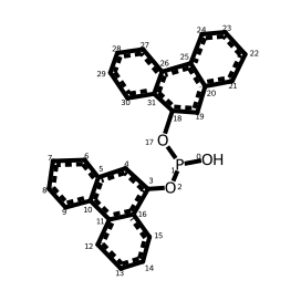 OP(Oc1cc2ccccc2c2ccccc12)Oc1cc2ccccc2c2ccccc12